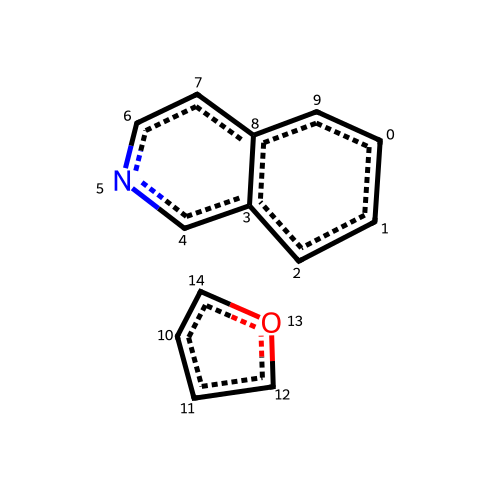 c1ccc2cnccc2c1.c1ccoc1